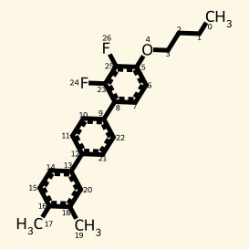 CCCCOc1ccc(-c2ccc(-c3ccc(C)c(C)c3)cc2)c(F)c1F